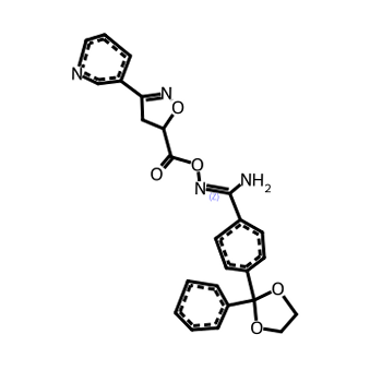 N/C(=N\OC(=O)C1CC(c2cccnc2)=NO1)c1ccc(C2(c3ccccc3)OCCO2)cc1